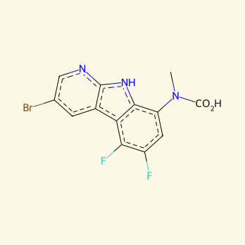 CN(C(=O)O)c1cc(F)c(F)c2c1[nH]c1ncc(Br)cc12